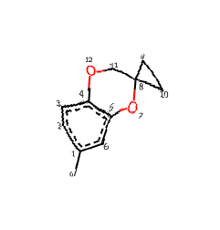 Cc1ccc2c(c1)OC1(CC1)CO2